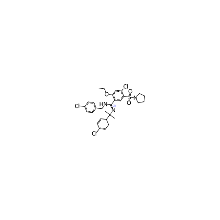 CCOc1cc(Cl)c(S(=O)(=O)N2CCCC2)cc1/C(=N/C(C)(C)C1C=CC(Cl)=CC1)NCc1ccc(Cl)cc1